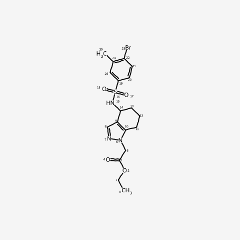 CCOC(=O)Cn1ncc2c1CCCC2NS(=O)(=O)c1ccc(Br)c(C)c1